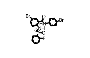 O=C(Nc1ccc(Br)cc1)c1cc(Br)ccc1NS(=O)(=O)c1ccccc1F